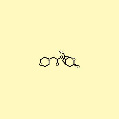 N#CC1CC2CC(=O)OC1C2OC(=O)CN1CCOCC1